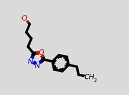 CCCc1ccc(-c2nnc(CCCC[O])o2)cc1